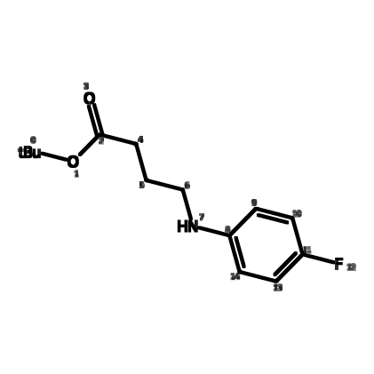 CC(C)(C)OC(=O)CCCNc1ccc(F)cc1